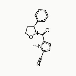 Cn1c(C#N)ccc1C(=O)N1OCC[C@H]1c1ccccc1